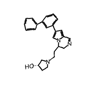 O[C@H]1CCN(CCC2CN=Cc3cc(-c4cccc(-c5ccccc5)c4)cn32)C1